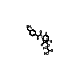 CC1=C[C@@H]2CN(C(=O)N2O[C@H](F)C(=O)O)[C@@H]1C(=O)Nc1ccc(CN)cc1